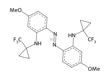 COc1ccc(/N=N/c2ccc(OC)cc2NC2(C(F)(F)F)CC2)c(NC2(C(F)(F)F)CC2)c1